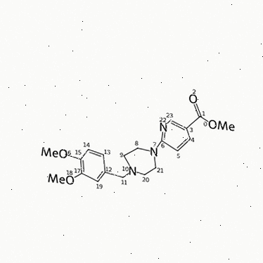 COC(=O)c1ccc(N2CCN(Cc3ccc(OC)c(OC)c3)CC2)nc1